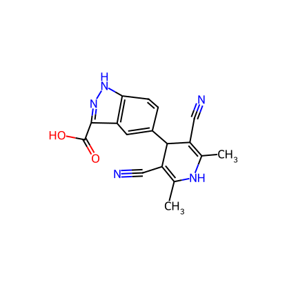 CC1=C(C#N)C(c2ccc3[nH]nc(C(=O)O)c3c2)C(C#N)=C(C)N1